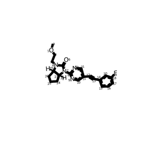 COCCN1C(=O)N(c2ncc(C#Cc3cccc(F)c3)cn2)[C@@H]2CCC[C@@H]21